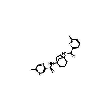 Cc1cnc(C(=O)NC23CCCC(NC(=O)c4cccc(C)n4)(CC2)C3)cn1